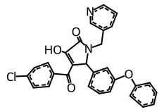 O=C(C1=C(O)C(=O)N(Cc2cccnc2)C1c1cccc(Oc2ccccc2)c1)c1ccc(Cl)cc1